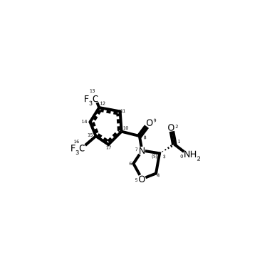 NC(=O)[C@@H]1COCN1C(=O)c1cc(C(F)(F)F)cc(C(F)(F)F)c1